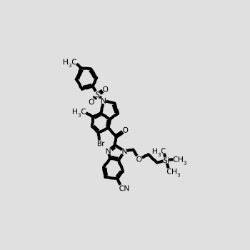 Cc1ccc(S(=O)(=O)n2ccc3c(C(=O)c4nc5ccc(C#N)cc5n4COCC[Si](C)(C)C)c(Br)cc(C)c32)cc1